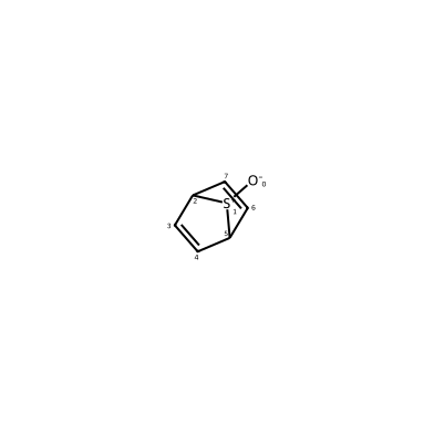 [O-][S+]1C2C=CC1C=C2